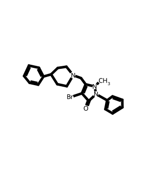 Cn1c(CN2CCC(c3ccccc3)CC2)c(Br)c(=O)n1-c1ccccc1